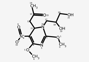 COC1=NC(OC)=C([N+](=O)[O-])C(CC(C)=O)N1CC(O)CO